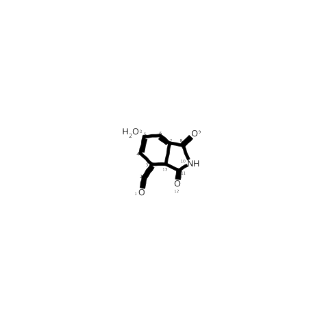 O.O=C=C1C=CC=C2C(=O)NC(=O)C12